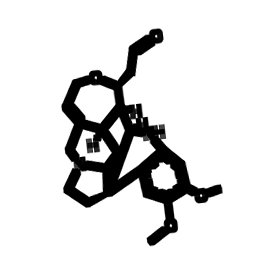 COc1cc2c(cc1OC)[C@]13CCN4CC5=CCO[C@@H](CC=O)[C@H]([C@H]5CC41)[C@@H]3N2